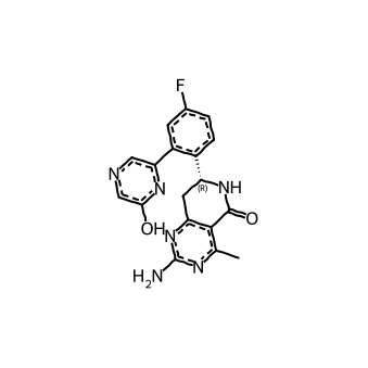 Cc1nc(N)nc2c1C(=O)N[C@@H](c1ccc(F)cc1-c1cncc(O)n1)C2